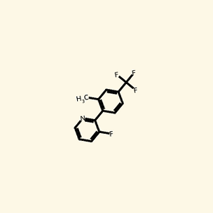 Cc1cc(C(F)(F)F)ccc1-c1ncccc1F